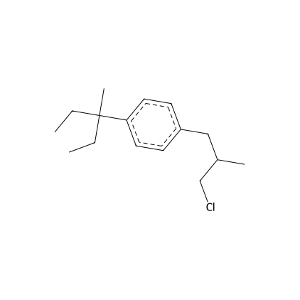 CCC(C)(CC)c1ccc(CC(C)CCl)cc1